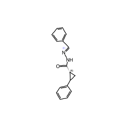 O=C(N/N=C/c1ccccc1)[C@@H]1CC1c1ccccc1